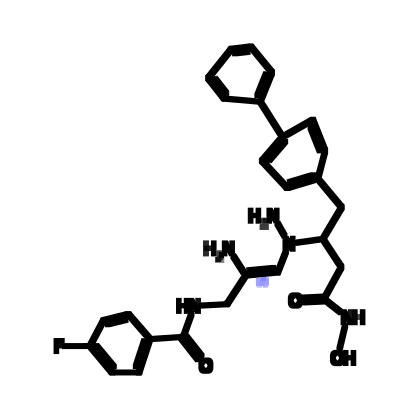 N/C(=C\N(N)C(CC(=O)NO)Cc1ccc(-c2ccccc2)cc1)CNC(=O)c1ccc(F)cc1